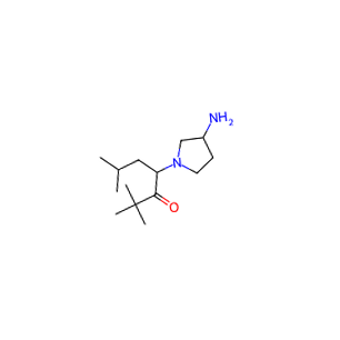 CC(C)CC(C(=O)C(C)(C)C)N1CCC(N)C1